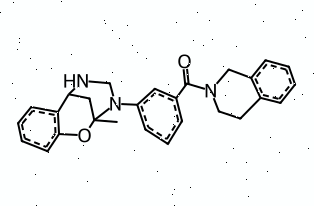 CC12CC(NCN1c1cccc(C(=O)N3CCc4ccccc4C3)c1)c1ccccc1O2